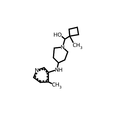 Cc1ccncc1NC1CCN(C(O)C2(C)CCC2)CC1